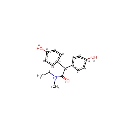 CCN(C)C(=O)C(c1ccc(O)cc1)c1ccc(O)cc1